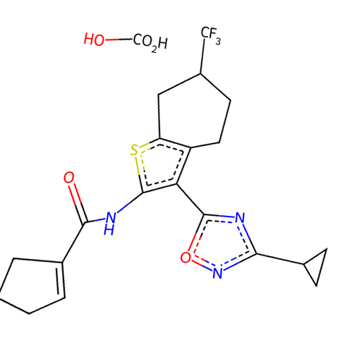 O=C(Nc1sc2c(c1-c1nc(C3CC3)no1)CCC(C(F)(F)F)C2)C1=CCCC1.O=C(O)O